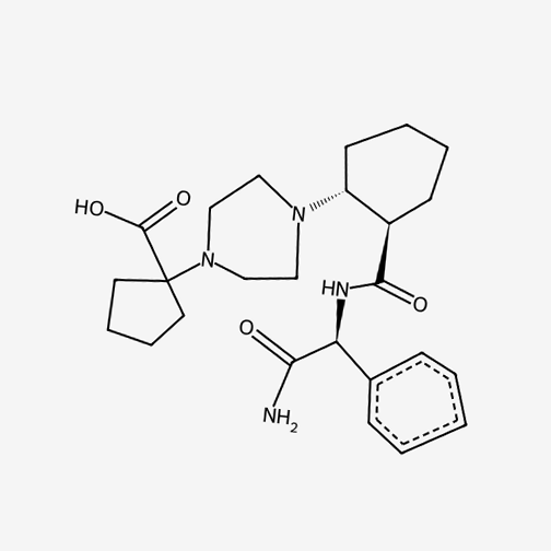 NC(=O)[C@@H](NC(=O)[C@@H]1CCCC[C@H]1N1CCN(C2(C(=O)O)CCCC2)CC1)c1ccccc1